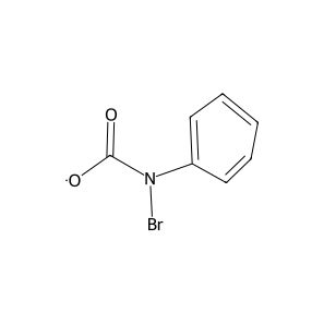 [O]C(=O)N(Br)c1ccccc1